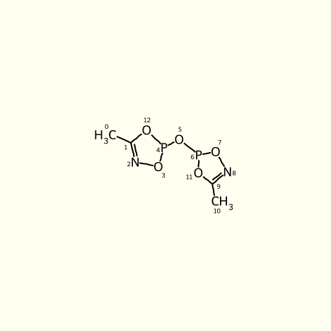 CC1=NOP(OP2ON=C(C)O2)O1